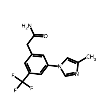 Cc1cn(-c2cc(CC(N)=O)cc(C(F)(F)F)c2)cn1